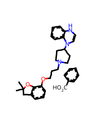 CC1(C)Cc2cccc(OCCCN3CCC(N4C=CNc5ccccc54)CC3)c2O1.O=C(O)c1ccccc1